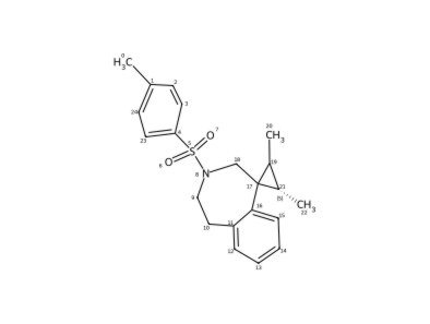 Cc1ccc(S(=O)(=O)N2CCc3ccccc3C3(C2)C(C)[C@@H]3C)cc1